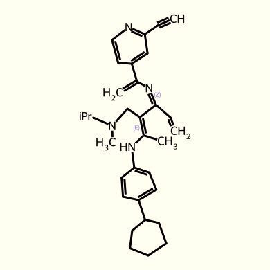 C#Cc1cc(C(=C)/N=C(C=C)\C(CN(C)C(C)C)=C(/C)Nc2ccc(C3CCCCC3)cc2)ccn1